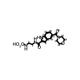 O=C(O)NCCNC(=O)c1cc2cc(C(=O)N3CCOCC3)ccc2[nH]1